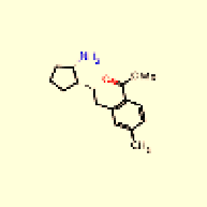 COC(=O)c1ccc(C)cc1CC[C@@H]1CCC[C@@H]1N